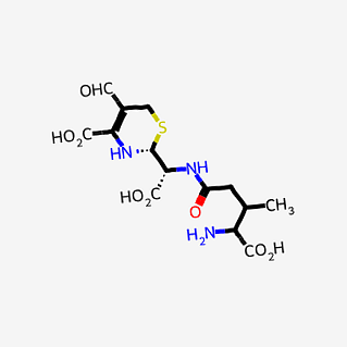 CC(CC(=O)N[C@H](C(=O)O)[C@@H]1NC(C(=O)O)=C(C=O)CS1)C(N)C(=O)O